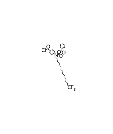 O=C(Cl)c1ccc(N(CCCCCCCCCCCCCCCC(F)(F)F)C(=O)OC(=O)c2ccccc2)cc1